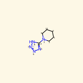 C1CCN(C2=NN=[N+]N2)CC1